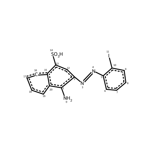 Nc1c(N=Nc2ccccc2I)cc(S(=O)(=O)O)c2ccccc12